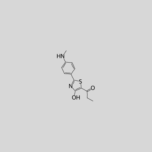 CCC(=O)c1sc(-c2ccc(NC)cc2)nc1O